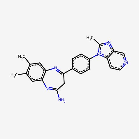 Cc1cc2c(cc1C)N=C(c1ccc(-n3c(C)nc4cnccc43)cc1)CC(N)=N2